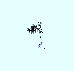 [2H]C([2H])(c1cn(C(=O)CCCCCCC/C=C\C/C=C\CCCCC)c2ccc(OC)cc12)[C@H]1CCCN1C([2H])([2H])[2H]